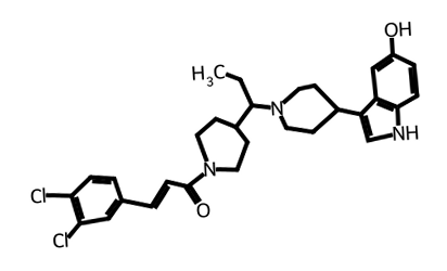 CCC(C1CCN(C(=O)C=Cc2ccc(Cl)c(Cl)c2)CC1)N1CCC(c2c[nH]c3ccc(O)cc23)CC1